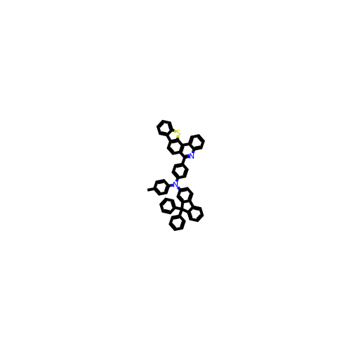 Cc1ccc(N(c2ccc(-c3nc4ccccc4c4c3ccc3c5ccccc5sc34)cc2)c2ccc3c(c2)C(c2ccccc2)(c2ccccc2)c2ccccc2-3)cc1